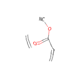 C=C.C=CC(=O)OC#N